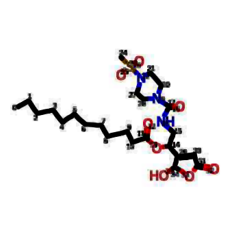 CCCCCCCCCCCC(=O)OC(CNC(=O)N1CCN(S(C)(=O)=O)CC1)C1=CC(=O)OC1O